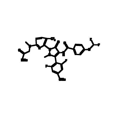 CNC(=O)CN(C)c1ccc(C(F)(F)F)c(-n2c(=O)c(NC(=O)c3ccc(OC(F)F)cc3)c(-c3c(F)cc(OC)cc3F)n2C)n1